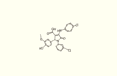 COc1cc(C2C(C(=O)O)=C(Nc3ccc(Cl)cc3)C(=O)N2c2cccc(Cl)c2)ccc1O